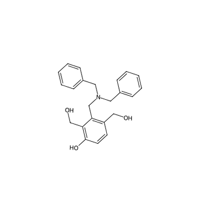 OCc1ccc(O)c(CO)c1CN(Cc1ccccc1)Cc1ccccc1